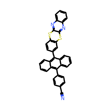 N#Cc1ccc(-c2c3ccccc3c(-c3ccc4c(c3)Sc3nc5ccccc5nc3S4)c3ccccc23)cc1